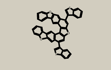 c1ccc2c(c1)oc1cc3c(-c4csc5ccccc45)cc4oc5cc(-c6csc7ccccc67)c6cc7oc8ccccc8c7cc6c5c4c3cc12